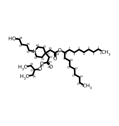 CCCCCCCCC(CCCCCCCC)OC(=O)CC1(CC(=O)OOC(CC)CC)CCN(CCCCO)CC1